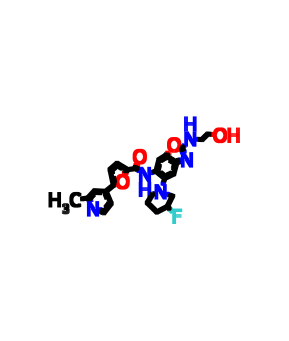 Cc1cc(-c2ccc(C(=O)Nc3cc4oc(NCCO)nc4cc3N3CCCC(F)C3)o2)ccn1